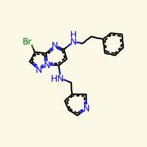 Brc1cnn2c(NCc3cccnc3)cc(NCCc3ccccc3)nc12